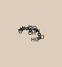 C=CC(=O)N1CCN(Cc2ccc(-c3cc(O)cc(/C=C/C(=O)N4CCN(Cc5ccc(-c6cc(O)ccc6Cl)cc5)CC4)c3Cl)c(Cl)c2)CC1